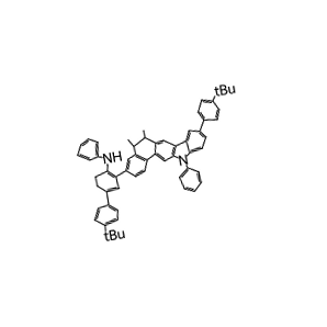 CC1c2cc(C3=C(Nc4ccccc4)CCC(c4ccc(C(C)(C)C)cc4)=C3)ccc2-c2cc3c(cc2C1C)c1cc(-c2ccc(C(C)(C)C)cc2)ccc1n3-c1ccccc1